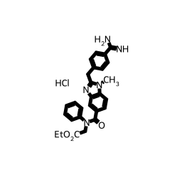 CCOC(=O)CN(C(=O)c1ccc2c(c1)nc(Cc1ccc(C(=N)N)cc1)n2C)c1ccccc1.Cl